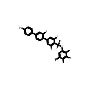 CCc1ccc(-c2ccc(-c3cc(F)c(C(F)(F)Oc4cc(F)c(C)c(F)c4C)c(F)c3)c(F)c2)cc1